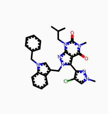 CC(C)Cn1c(=O)n(C)c(=O)c2c(-c3nn(C)cc3Cl)n(Cc3cn(Cc4ccccc4)c4ccccc34)nc21